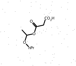 CCCOC(C)OC(=O)CC(=O)O